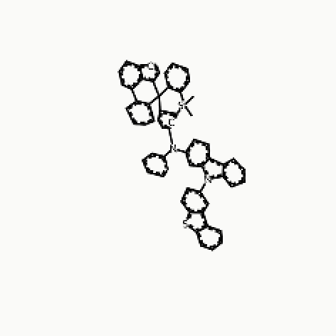 C[Si]1(C)c2ccccc2C2(c3ccccc3-c3cccc4cccc2c34)c2ccc(N(c3ccccc3)c3ccc4c5ccccc5n(-c5ccc6sc7ccccc7c6c5)c4c3)cc21